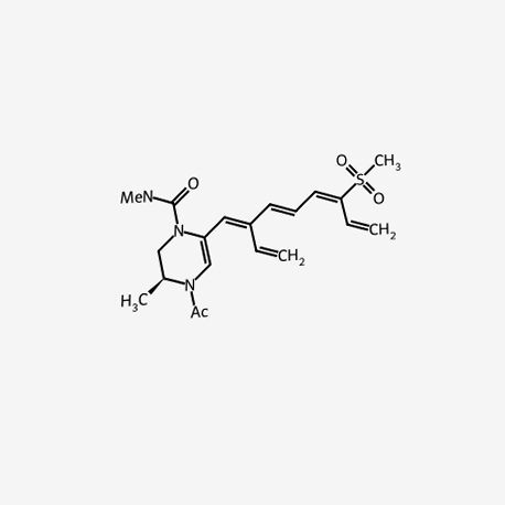 C=CC(/C=C/C=C(\C=C)S(C)(=O)=O)=C\C1=CN(C(C)=O)[C@@H](C)CN1C(=O)NC